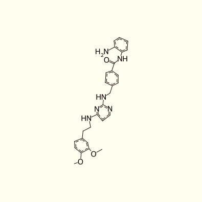 COc1ccc(CCNc2ccnc(NCc3ccc(C(=O)Nc4ccccc4N)cc3)n2)cc1OC